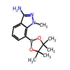 Cn1nc(N)c2cccc(B3OC(C)(C)C(C)(C)O3)c21